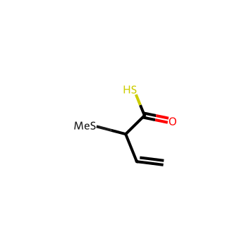 C=CC(SC)C(=O)S